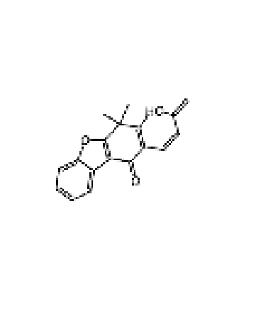 C=C(O)/C=C\C1=C(C)C(C)(C)c2oc3ccccc3c2C1=O